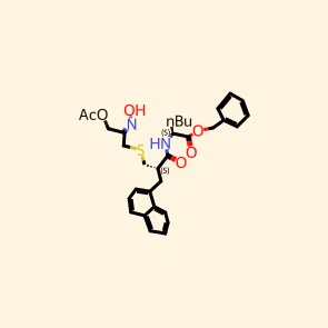 CCCC[C@H](NC(=O)[C@@H](CSCC(COC(C)=O)=NO)Cc1cccc2ccccc12)C(=O)OCc1ccccc1